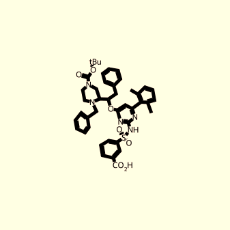 Cc1cccc(C)c1-c1cc(OC(Cc2ccccc2)C2CN(C(=O)OC(C)(C)C)CCN2Cc2ccccc2)nc(NS(=O)(=O)c2cccc(C(=O)O)c2)n1